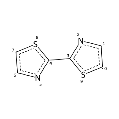 [c]1cnc(-c2nccs2)s1